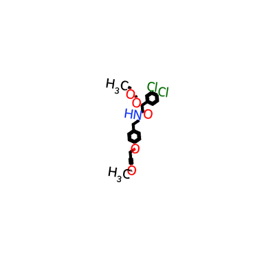 CCOCOC(C(=O)NCCc1ccc(OCC#COC)cc1)c1ccc(Cl)c(Cl)c1